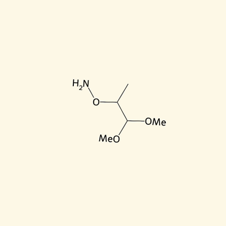 COC(OC)C(C)ON